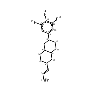 CCC/C=C/C1CCC2CC(c3cc(F)c(F)c(F)c3)CCC2C1